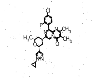 Cc1nc2c(-c3ccc(Cl)cc3F)nc([C@@H]3C[C@@H](C)O[C@H](c4cnn(C5CC5)c4)C3)cn2c(=O)c1C